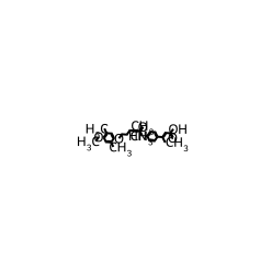 CCC(=CC(=O)O)c1ccc(NC(=O)C(C)(C)CCCOc2cc(C)c(OC)cc2C)cc1